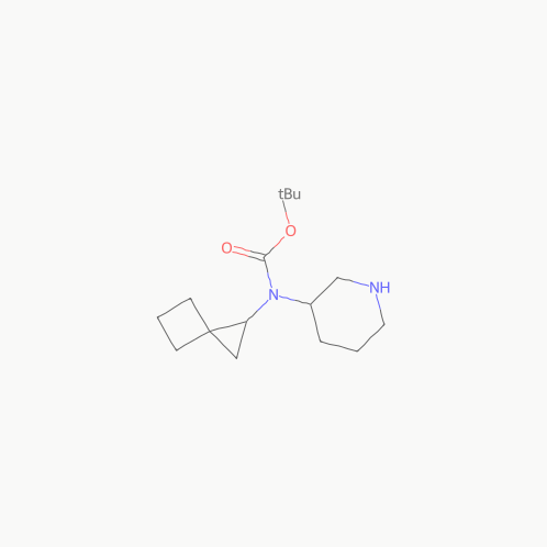 CC(C)(C)OC(=O)N(C1CCCNC1)C1CC12CCC2